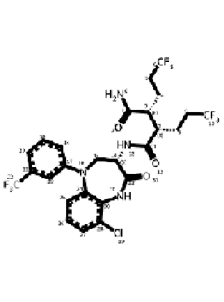 NC(=O)[C@H](CCC(F)(F)F)[C@H](CCC(F)(F)F)C(=O)N[C@H]1CN(c2cccc(C(F)(F)F)c2)c2cccc(Cl)c2NC1=O